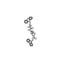 O=C(N/N=C/CN1c2ccccc2Sc2ccccc21)Nc1nc2c(s1)CN(C(=O)OCC1c3ccccc3-c3ccccc31)CC2